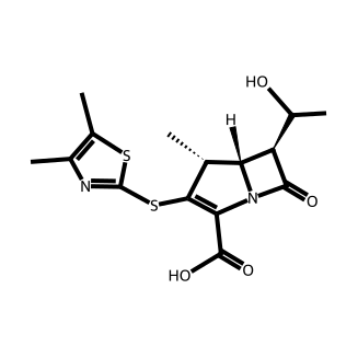 Cc1nc(SC2=C(C(=O)O)N3C(=O)[C@H](C(C)O)[C@H]3[C@H]2C)sc1C